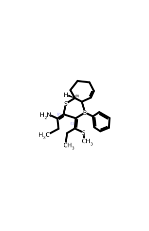 CC/C(N)=C1/S[C@@H]2CCCC=CC2B(c2ccccc2)/C1=C(/CC)SC